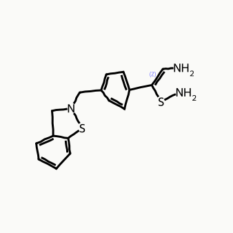 N/C=C(\SN)c1ccc(CN2Cc3ccccc3S2)cc1